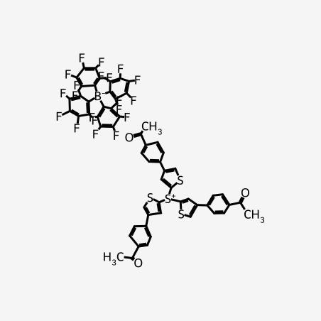 CC(=O)c1ccc(-c2csc([S+](c3cc(-c4ccc(C(C)=O)cc4)cs3)c3cc(-c4ccc(C(C)=O)cc4)cs3)c2)cc1.Fc1c(F)c(F)c([B-](c2c(F)c(F)c(F)c(F)c2F)(c2c(F)c(F)c(F)c(F)c2F)c2c(F)c(F)c(F)c(F)c2F)c(F)c1F